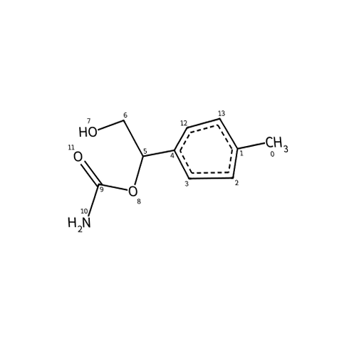 Cc1ccc(C(CO)OC(N)=O)cc1